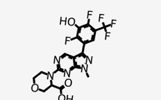 Cn1nc(-c2cc(C(F)(F)F)c(F)c(O)c2F)c2cnc(N3CCOCC3C(=O)O)nc21